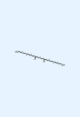 O=C(CCSCCSCCSCCO)CCSCCC(=O)CCSCCSCCSCCO